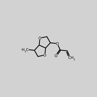 C=CC(=O)OC1COC2C(C)COC12